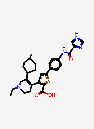 CCN1CCC(c2cc(-c3ccc(NC(=O)c4c[nH]cn4)cc3)sc2C(=O)O)=C(C2CCC(C)CC2)C1